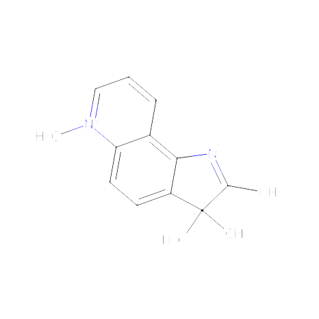 CC1=Nc2c(ccc3c2ccc[n+]3C)C1(C)C